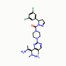 C/C(N)=C(\c1nc(N2CCN(C(=O)N3N=CCC3c3cc(F)cc(F)c3)CC2)ncc1F)N(C)N